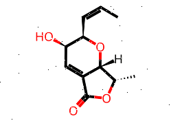 C/C=C\[C@H]1O[C@H]2C(=C[C@H]1O)C(=O)O[C@H]2C